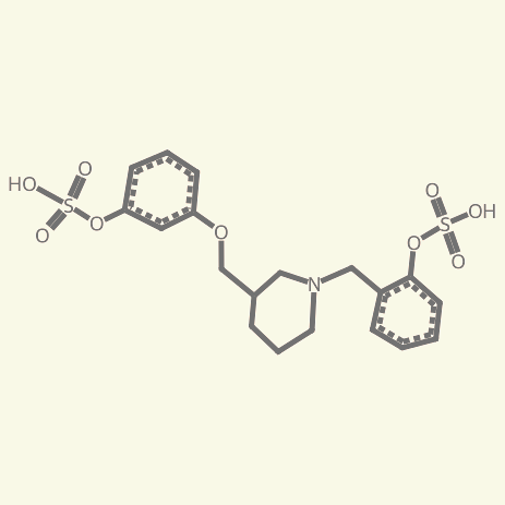 O=S(=O)(O)Oc1cccc(OCC2CCCN(Cc3ccccc3OS(=O)(=O)O)C2)c1